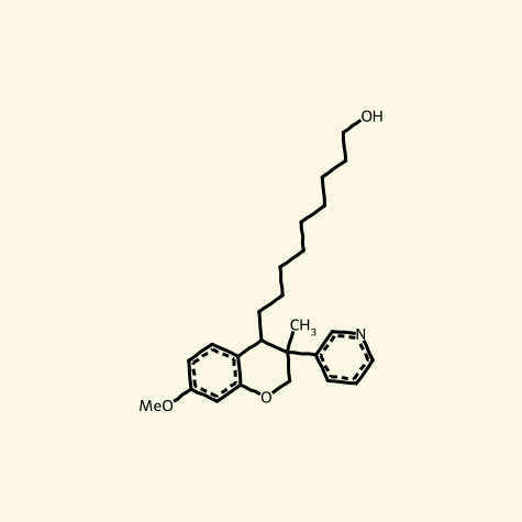 COc1ccc2c(c1)OCC(C)(c1cccnc1)C2CCCCCCCCCO